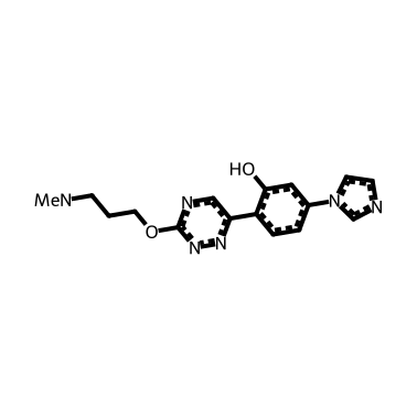 CNCCCOc1ncc(-c2ccc(-n3ccnc3)cc2O)nn1